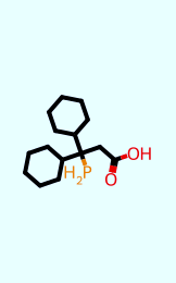 O=C(O)CC(P)(C1CCCCC1)C1CCCCC1